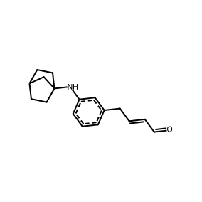 O=CC=CCc1cccc(NC23CCC(CC2)C3)c1